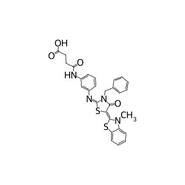 CN1C(=C2SC(=Nc3cccc(NC(=O)CCC(=O)O)c3)N(Cc3ccccc3)C2=O)Sc2ccccc21